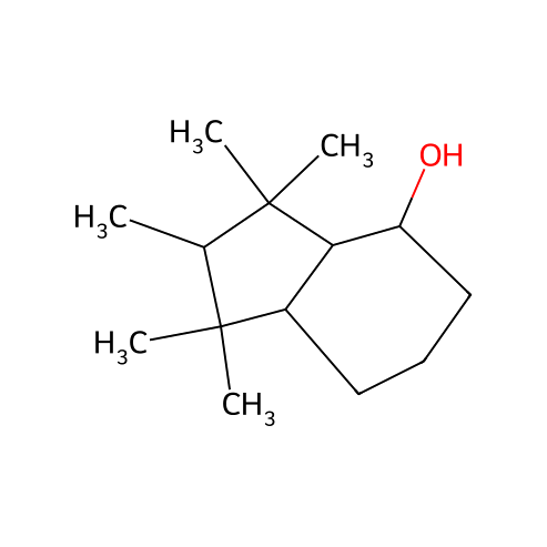 CC1C(C)(C)C2CCCC(O)C2C1(C)C